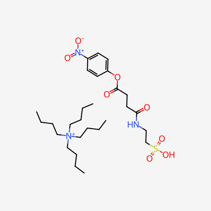 CCCC[N+](CCCC)(CCCC)CCCC.O=C(CCC(=O)Oc1ccc([N+](=O)[O-])cc1)NCCS(=O)(=O)O